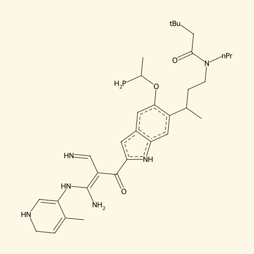 CCCN(CCC(C)c1cc2[nH]c(C(=O)/C(C=N)=C(\N)NC3=CNCC=C3C)cc2cc1OC(C)P)C(=O)CC(C)(C)C